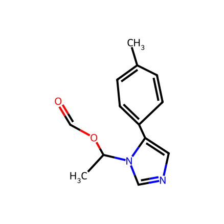 Cc1ccc(-c2cncn2C(C)OC=O)cc1